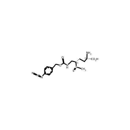 CS(=S)[C@@H](CC[C@H](N)C(=O)O)CNC(=O)OCc1ccc(N=[N+]=[N-])cc1